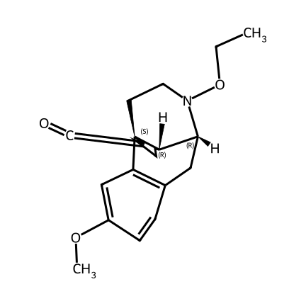 CCON1CC[C@]23C(=C=O)CCC[C@H]2[C@H]1Cc1ccc(OC)cc13